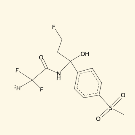 [2H]C(F)(F)C(=O)NC(O)(CCF)c1ccc(S(C)(=O)=O)cc1